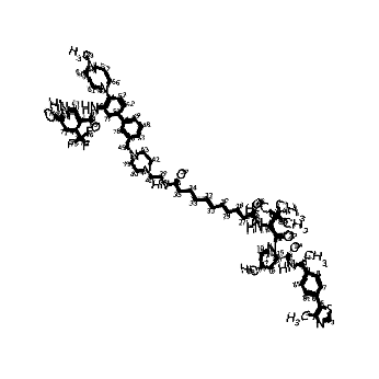 Cc1ncsc1-c1ccc([C@H](C)NC(=O)[C@@H]2C[C@@H](O)CN2C(=O)[C@@H](NC(=O)CCCCCCCCCC(=O)NCCN2CCN(Cc3cccc(-c4ccc(N5CCN(C)CC5)c(NC(=O)c5c[nH]c(=O)cc5C(F)(F)F)c4)c3)CC2)C(C)(C)C)cc1